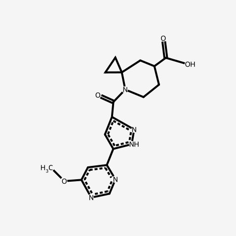 COc1cc(-c2cc(C(=O)N3CCC(C(=O)O)CC34CC4)n[nH]2)ncn1